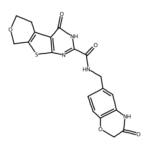 O=C1COc2ccc(CNC(=O)c3nc4sc5c(c4c(=O)[nH]3)CCOC5)cc2N1